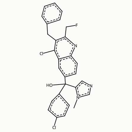 Cn1cncc1C(O)(c1ccc(Cl)cc1)c1ccc2nc(CF)c(Cc3ccccc3)c(Cl)c2c1